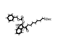 CCCCCCCCCCCCCCCCCC(=O)c1c(OC(=O)OCc2ccccc2)[nH]c2ccccc12